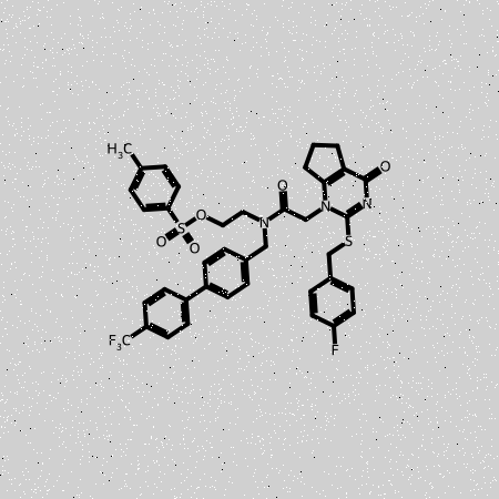 Cc1ccc(S(=O)(=O)OCCN(Cc2ccc(-c3ccc(C(F)(F)F)cc3)cc2)C(=O)Cn2c(SCc3ccc(F)cc3)nc(=O)c3c2CCC3)cc1